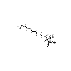 CCCCCCCCCCC(F)(C(=O)O)C(F)(F)F